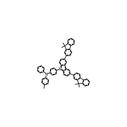 Cc1ccc(N(c2ccccc2)c2ccc(-n3c4ccc(-c5ccc6c(c5)C(C)(C)c5ccccc5-6)cc4c4cc(-c5ccc6c(c5)C(C)(C)c5ccccc5-6)ccc43)cc2)cc1